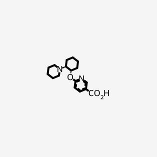 O=C(O)c1ccc(O[C@H]2CCCC[C@@H]2N2CCCCC2)nc1